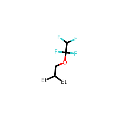 CCC(CC)COC(F)(F)C(F)F